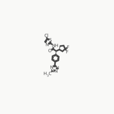 Cn1nnc(-c2ccc([C@@H](C(=O)Nc3ncc(Cl)s3)[C@H]3CCC(F)(F)C3)cc2)n1